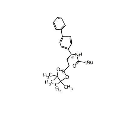 CC(C)(C)C(=O)N[C@@H](CCB1OC(C)(C)C(C)(C)O1)c1ccc(-c2ccccc2)cc1